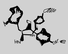 COc1ccc(C2(c3ccc(OC)cc3)NC(=N)N(Cc3ccccc3F)C2=O)cc1